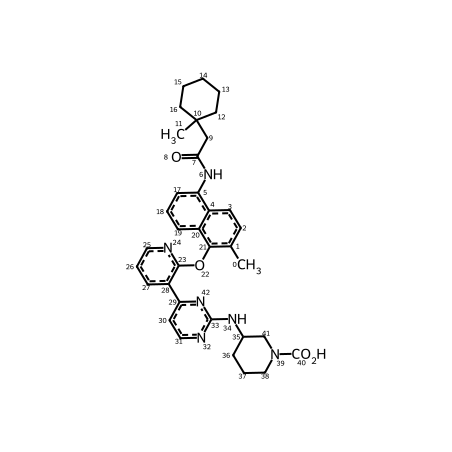 Cc1ccc2c(NC(=O)CC3(C)CCCCC3)cccc2c1Oc1ncccc1-c1ccnc(NC2CCCN(C(=O)O)C2)n1